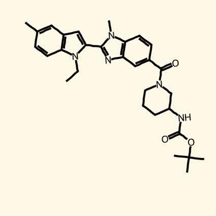 CCn1c(-c2nc3cc(C(=O)N4CCCC(NC(=O)OC(C)(C)C)C4)ccc3n2C)cc2cc(C)ccc21